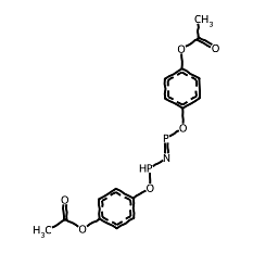 CC(=O)Oc1ccc(OP=NPOc2ccc(OC(C)=O)cc2)cc1